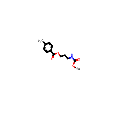 [CH2]c1ccc(C(=O)OCCCNC(=O)OC(C)(C)C)cc1